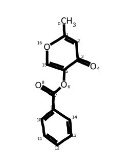 Cc1cc(=O)c(OC(=O)c2ccccc2)co1